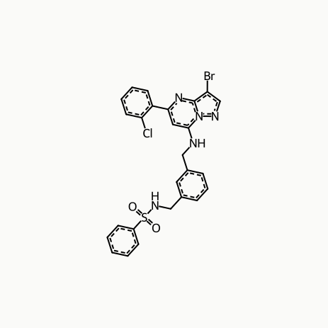 O=S(=O)(NCc1cccc(CNc2cc(-c3ccccc3Cl)nc3c(Br)cnn23)c1)c1ccccc1